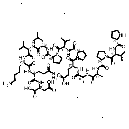 CC(C)C[C@H](NC(=O)[C@@H]1CCCN1C(=O)[C@@H](NC(=O)[C@@H]1CCCN1C(=O)[C@H](CCC(=O)O)NC(=O)[C@H](C)NC(=O)[C@H](C)NC(=O)[C@@H]1CCCN1C(=O)[C@@H](NC(=O)[C@@H]1CCCN1)C(C)C)C(C)C)C(=O)N[C@H](C(=O)N[C@@H](CCCCN)C(=O)N[C@@H](CCC(N)=O)C(=O)N[C@@H](CC(=O)O)C(=O)O)C(C)C